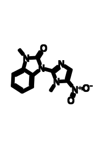 Cn1c([N+](=O)[O-])cnc1-n1c(=O)n(C)c2ccccc21